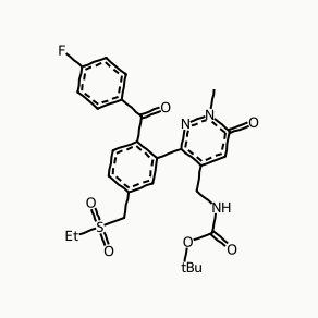 CCS(=O)(=O)Cc1ccc(C(=O)c2ccc(F)cc2)c(-c2nn(C)c(=O)cc2CNC(=O)OC(C)(C)C)c1